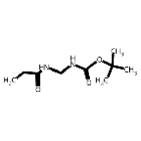 CCC(=O)NCNC(=O)OC(C)(C)C